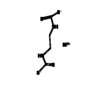 S=C([S-])NCCNC(=S)[S-].[Ni+2]